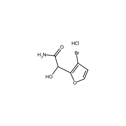 Cl.NC(=O)C(O)c1occc1Br